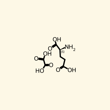 N[C@@H](CCC(=O)O)C(=O)O.O=C(O)C(=O)O